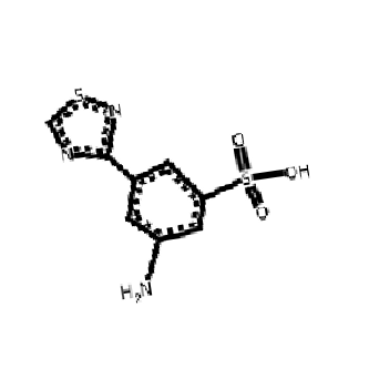 Nc1cc(-c2ncsn2)cc(S(=O)(=O)O)c1